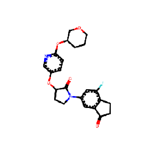 O=C1CCc2c(F)cc(N3CCC(Oc4ccc(OC5CCCOC5)nc4)C3=O)cc21